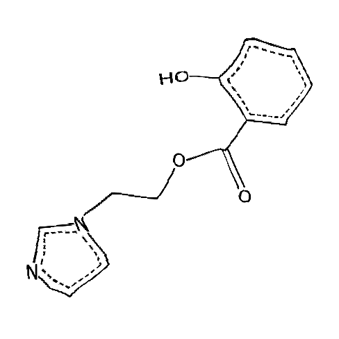 O=C(OCCn1ccnc1)c1ccccc1O